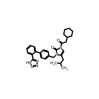 CC(C)Cc1cn(C(=O)CC2CCCCC2)c(=O)n1Cc1ccc(-c2ccccc2-c2nnn[nH]2)cc1